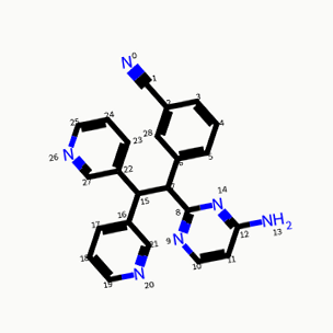 N#Cc1cccc(C(c2nccc(N)n2)C(c2cccnc2)c2cccnc2)c1